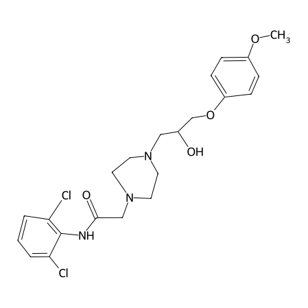 COc1ccc(OCC(O)CN2CCN(CC(=O)Nc3c(Cl)cccc3Cl)CC2)cc1